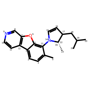 Cc1ccc2c(oc3cnccc32)c1N1C=CC(CC(C)C)[C@@H]1C